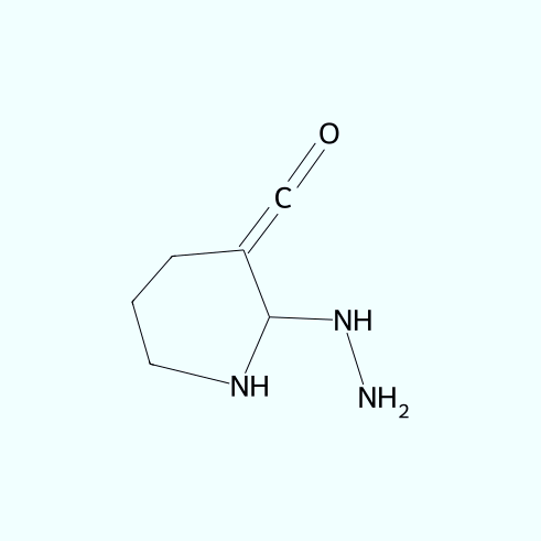 NNC1NCCCC1=C=O